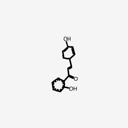 O=C(C=CC1C=CC(O)=CC1)c1ccccc1O